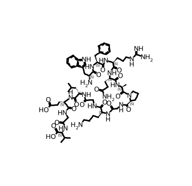 CC(C)C[C@H](NC(=O)CNC(=O)[C@H](CCCCN)NC(=O)CNC(=O)[C@@H]1CCCN1C(=O)[C@H](C)NC(=O)[C@H](CCC(N)=O)NC(=O)[C@H](CCCNC(=N)N)NC(=O)[C@H](Cc1ccccc1)NC(=O)[C@@H](N)Cc1c[nH]c2ccccc12)C(=O)N[C@@H](CCC(=O)O)C(=O)NCC(=O)N[C@H](C(=O)O)C(C)C